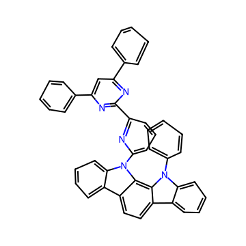 c1ccc(-c2cc(-c3ccccc3)nc(-c3cccc(-n4c5ccccc5c5ccc6c7ccccc7n(-c7ccccc7)c6c54)n3)n2)cc1